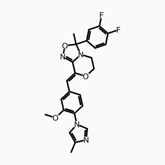 COc1cc(/C=C2\OCCN3C2=NOC3(C)c2ccc(F)c(F)c2)ccc1-n1cnc(C)c1